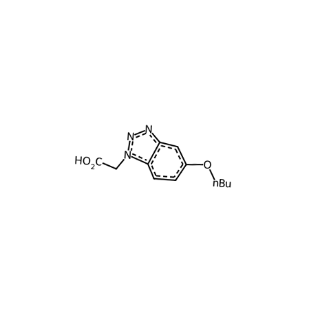 CCCCOc1ccc2c(c1)nnn2CC(=O)O